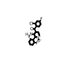 Nc1c(C(=O)c2ccc(F)cc2Cl)cc[n+]([O-])c1-c1c(F)cccc1F